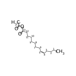 CCCC/C=C\CCCCCCCC(=O)OC(C)=O